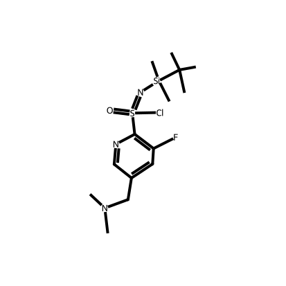 CN(C)Cc1cnc(S(=O)(Cl)=N[Si](C)(C)C(C)(C)C)c(F)c1